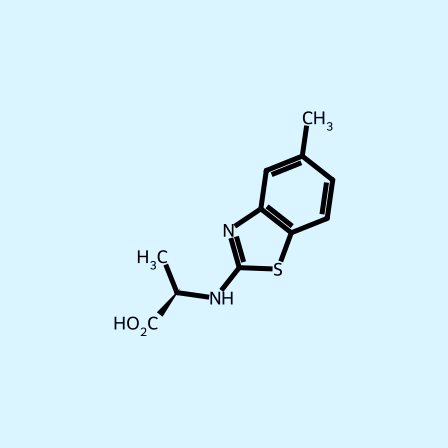 Cc1ccc2sc(N[C@H](C)C(=O)O)nc2c1